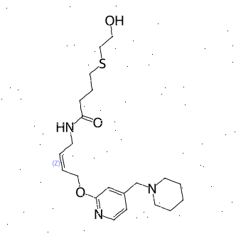 O=C(CCCSCCO)NC/C=C\COc1cc(CN2CCCCC2)ccn1